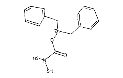 O=C([O][Zn]([CH2]c1ccccc1)[CH2]c1ccccc1)N(S)S